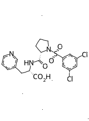 O=C(O)[C@H](Cc1cccnc1)NC(=O)[C@@H]1CCCN1S(=O)(=O)c1cc(Cl)cc(Cl)c1